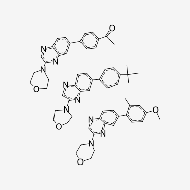 CC(=O)c1ccc(-c2ccc3ncc(N4CCOCC4)nc3c2)cc1.CC(C)(C)c1ccc(-c2ccc3ncc(N4CCOCC4)nc3c2)cc1.COc1ccc(-c2ccc3ncc(N4CCOCC4)nc3c2)c(C)c1